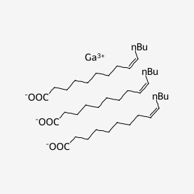 CCCC/C=C\CCCCCCCC(=O)[O-].CCCC/C=C\CCCCCCCC(=O)[O-].CCCC/C=C\CCCCCCCC(=O)[O-].[Ga+3]